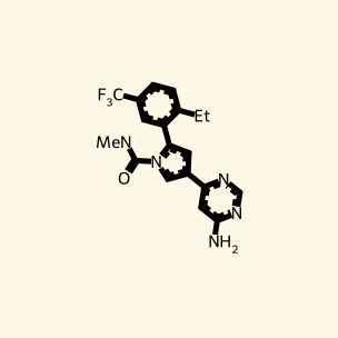 CCc1ccc(C(F)(F)F)cc1-c1cc(-c2cc(N)ncn2)cn1C(=O)NC